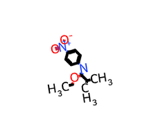 CCOC(=Nc1ccc([N+](=O)[O-])cc1)C(C)C